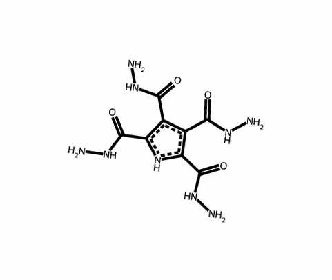 NNC(=O)c1[nH]c(C(=O)NN)c(C(=O)NN)c1C(=O)NN